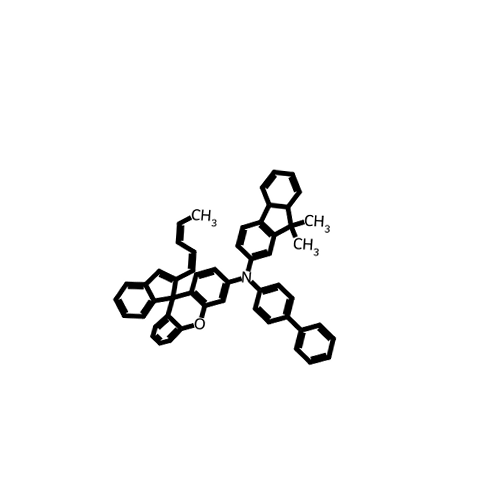 C/C=C\C=C/C1=Cc2ccccc2C12c1ccccc1Oc1cc(N(c3ccc(-c4ccccc4)cc3)c3ccc4c(c3)C(C)(C)C3C=CC=CC43)ccc12